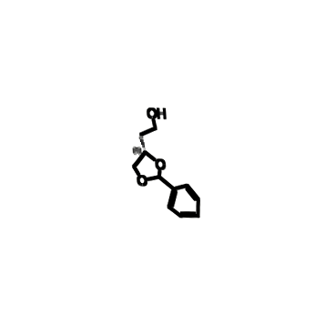 OCC[C@H]1COC(c2ccccc2)O1